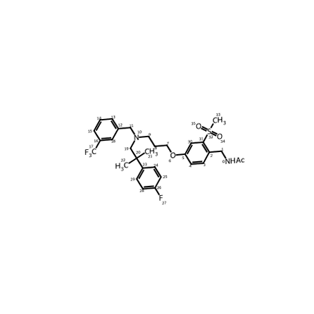 CC(=O)NCc1ccc(OCCCN(Cc2cccc(C(F)(F)F)c2)CC(C)(C)c2ccc(F)cc2)cc1S(C)(=O)=O